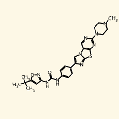 CN1CCN(c2ncc3c(n2)sc2nc(-c4ccc(NC(=O)Nc5cc(C(C)(C)C)on5)cc4)cn23)CC1